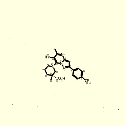 Cc1nc2cc(-c3ccc(C(F)(F)F)cc3)nn2c(N2CCC[C@@](C)(C(=O)O)C2)c1C(C)C